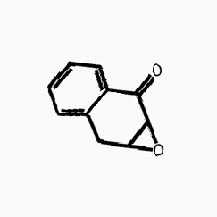 O=C1c2ccccc2CC2OC12